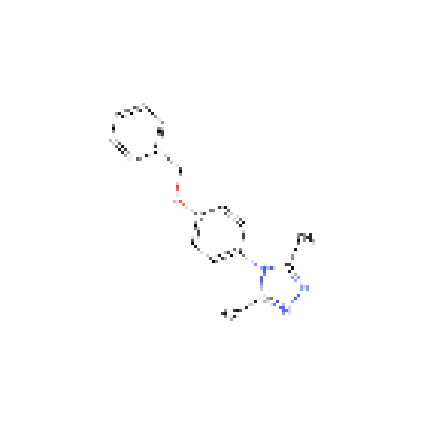 Cc1nnc(C)n1-c1ccc(OCc2ccccc2)cc1